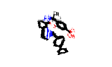 C[C@H](NC(=O)c1cccc2c1N(Cc1ccc(-c3ccccc3)cc1)CC2)c1ccc(C(=O)O)cc1